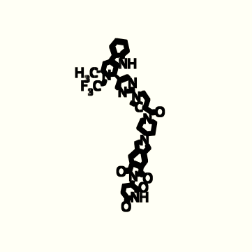 C[C@@H]1Cc2c([nH]c3ccccc23)[C@@H](c2cnc(N3CCC(C(=O)N4CCC(N5Cc6cc7c(cc6C5)C(=O)N(C5CCC(=O)NC5=O)C7=O)CC4)CC3)nc2)N1CC(F)(F)F